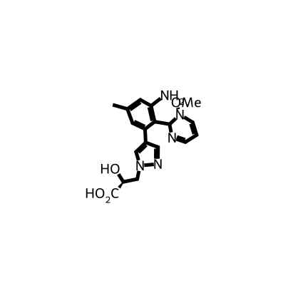 CON1C=CC=NC1c1c(N)cc(C)cc1-c1cnn(C[C@H](O)C(=O)O)c1